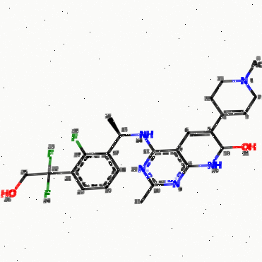 CC(=O)N1CC=C(C2=Cc3c(nc(C)nc3N[C@H](C)c3cccc(C(F)(F)CO)c3F)NC2O)CC1